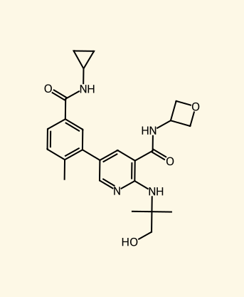 Cc1ccc(C(=O)NC2CC2)cc1-c1cnc(NC(C)(C)CO)c(C(=O)NC2COC2)c1